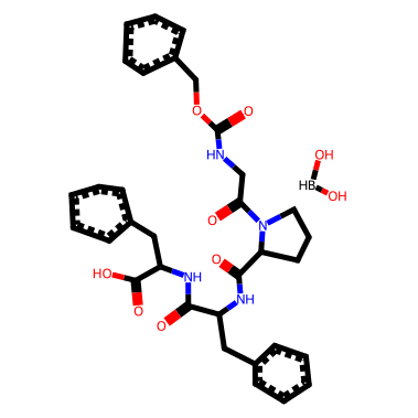 O=C(NCC(=O)N1CCCC1C(=O)NC(Cc1ccccc1)C(=O)NC(Cc1ccccc1)C(=O)O)OCc1ccccc1.OBO